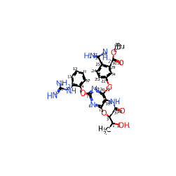 CC(O)C1Oc2nc(Oc3ccccc3NC(=N)N)nc(Oc3ccc(C(=N)N)c(C(=O)OC(C)(C)C)c3)c2NC1=O